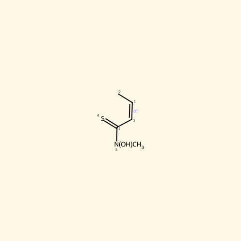 C/C=C\C(=S)N(C)O